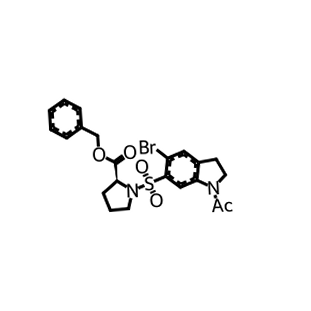 CC(=O)N1CCc2cc(Br)c(S(=O)(=O)N3CCC[C@H]3C(=O)OCc3ccccc3)cc21